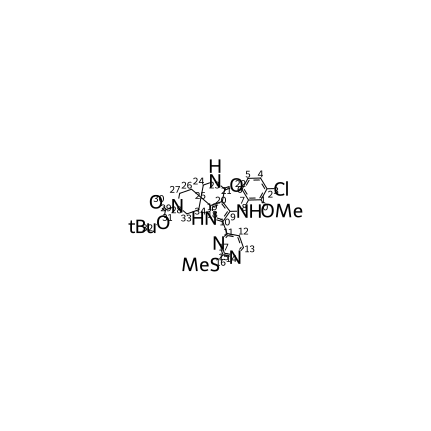 COc1c(Cl)cccc1Nc1c(-c2ccnc(SC)n2)[nH]c2c1C(=O)NCC21CCN(C(=O)OC(C)(C)C)CC1